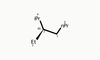 CCCC[C@@H](CC)C(C)C